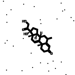 CC1C[C@@H]2C(=CC[C@@]3(C)[C@H]2CC[C@]3(O)C(=O)CO)[C@@]2(C)CCC(=O)C=C12